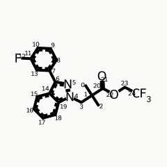 CC(C)(Cn1nc(-c2cccc(F)c2)c2ccccc21)C(=O)OCC(F)(F)F